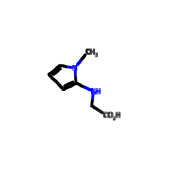 Cn1cccc1NCC(=O)O